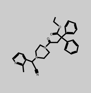 CCOC(=O)C(CC(=O)N1CCN(C(C#N)c2cccnc2C)CC1)(c1ccccc1)c1ccccc1